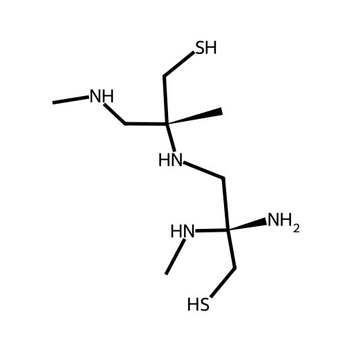 CNC[C@](C)(CS)NC[C@](N)(CS)NC